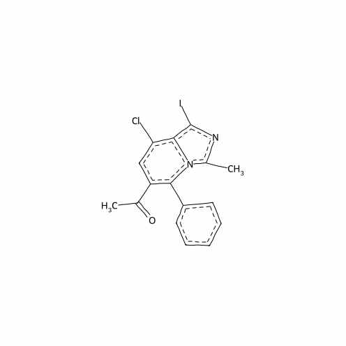 CC(=O)c1cc(Cl)c2c(I)nc(C)n2c1-c1ccccc1